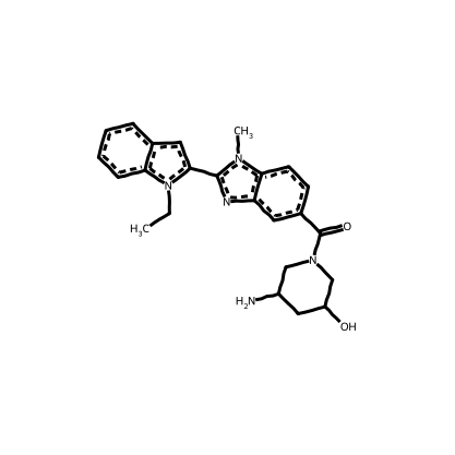 CCn1c(-c2nc3cc(C(=O)N4CC(N)CC(O)C4)ccc3n2C)cc2ccccc21